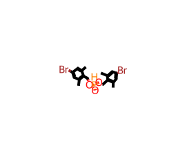 Cc1cc(Br)cc(C)c1CO[PH](=O)OCc1c(C)cc(Br)cc1C